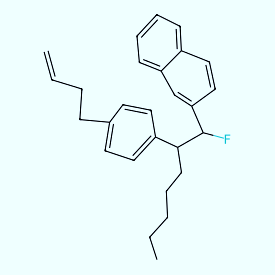 C=CCCc1ccc(C(CCCCC)C(F)c2ccc3ccccc3c2)cc1